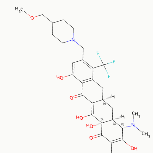 COCC1CCN(Cc2cc(O)c3c(c2C(F)(F)F)C[C@H]2C[C@H]4[C@H](N(C)C)C(O)=C(C(N)=O)C(=O)[C@@]4(O)C(O)=C2C3=O)CC1